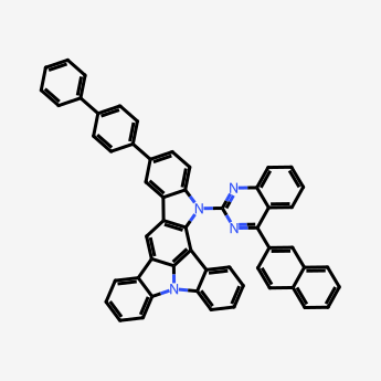 c1ccc(-c2ccc(-c3ccc4c(c3)c3cc5c6ccccc6n6c7ccccc7c(c3n4-c3nc(-c4ccc7ccccc7c4)c4ccccc4n3)c56)cc2)cc1